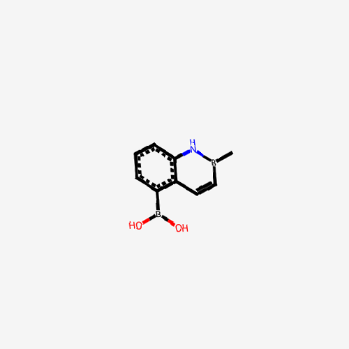 CB1C=Cc2c(cccc2B(O)O)N1